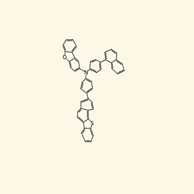 c1ccc2c(-c3ccc(N(c4ccc(-c5ccc6c(ccc7c8ccccc8sc67)c5)cc4)c4ccc5oc6ccccc6c5c4)cc3)cccc2c1